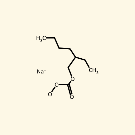 CCCCC(CC)COC(=O)O[O-].[Na+]